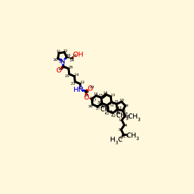 CC(C)CCC[C@@H](C)C1CCC2C3CC=C4C[C@@H](OC(=O)NCCCCCC(=O)N5CCC[C@H]5CO)CC[C@]4(C)C3CC[C@@]21C